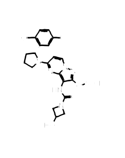 O=C(Nc1c(OS(=O)(=O)O)nn2ccc(N3CCC[C@@H]3c3cc(F)ccc3Cl)nc12)N1CC(O)C1